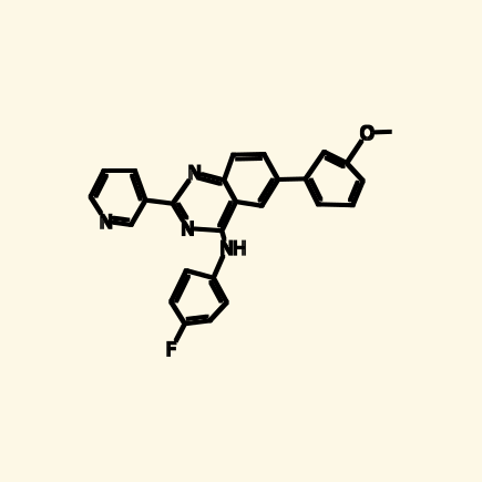 COc1cccc(-c2ccc3nc(-c4cccnc4)nc(Nc4ccc(F)cc4)c3c2)c1